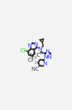 C[C@@H](c1ncnn1-c1ccc(C#N)cn1)N(CC1CC1)c1ncnc2c(Cl)cc(C(F)(F)F)cc12